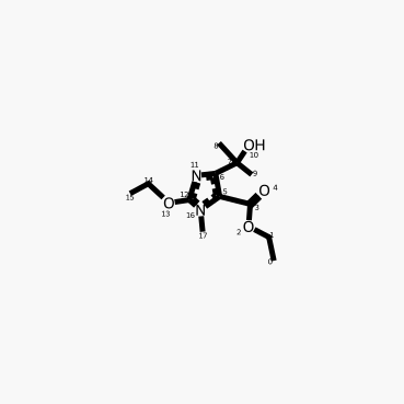 CCOC(=O)c1c(C(C)(C)O)nc(OCC)n1C